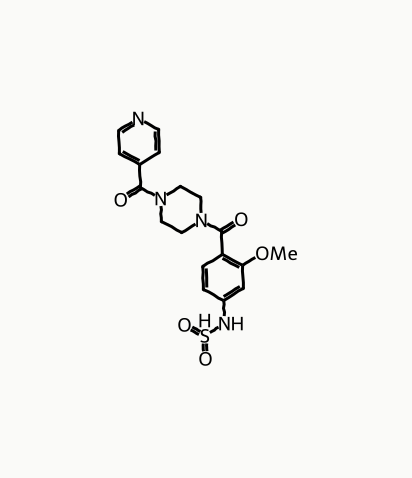 COc1cc(N[SH](=O)=O)ccc1C(=O)N1CCN(C(=O)c2ccncc2)CC1